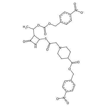 CC(OC(=O)OCc1ccc([N+](=O)[O-])cc1)C1C(=O)NC1SC(=O)CN1CCC(C(=O)OCc2ccc([N+](=O)[O-])cc2)CC1